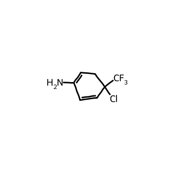 NC1=CCC(Cl)(C(F)(F)F)C=C1